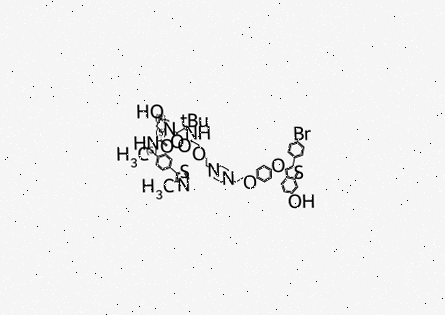 Cc1ncsc1-c1ccc([C@H](C)NC(=O)[C@@H]2C[C@@H](O)CN2C(=O)C(NC(=O)COCCN2CCN(CCOc3ccc(Oc4c(-c5ccc(Br)cc5)sc5cc(O)ccc45)cc3)CC2)C(C)(C)C)cc1